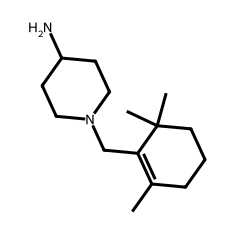 CC1=C(CN2CCC(N)CC2)C(C)(C)CCC1